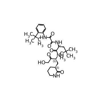 CC(C)(C)C[C@H](NC(=O)C(=O)Nc1ccccc1C(C)(C)C)C(=O)N[C@@H](C[C@@H]1CCCNC1=O)C(=O)CO